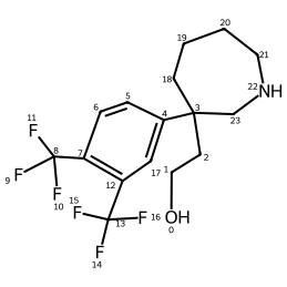 OCCC1(c2ccc(C(F)(F)F)c(C(F)(F)F)c2)CCCCNC1